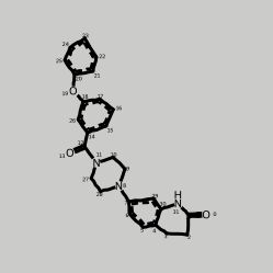 O=C1CCc2ccc(N3CCN(C(=O)c4cccc(Oc5ccccc5)c4)CC3)cc2N1